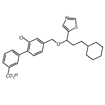 O=C(O)c1cccc(-c2ccc(COC(CCC3CCCCC3)c3cncs3)cc2Cl)c1